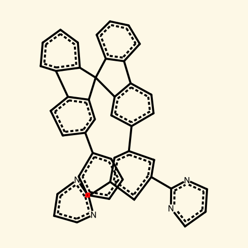 c1ccc(-c2ccc3c(c2)C2(c4ccccc4-3)c3ccccc3-c3ccc(-c4cc(-c5ncccn5)cc(-c5ncccn5)c4)cc32)cc1